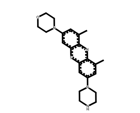 Cc1cc(N2CCNCC2)cc2[s+]c3cc(N4CCOCC4)cc(C)c3nc12